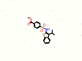 COC(=O)c1ccc(S(=O)(=O)Nc2sc3ccccc3c2C(C)C)cc1